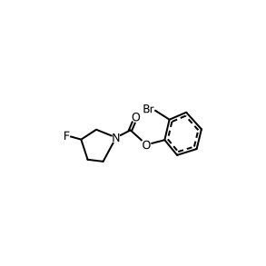 O=C(Oc1ccccc1Br)N1CCC(F)C1